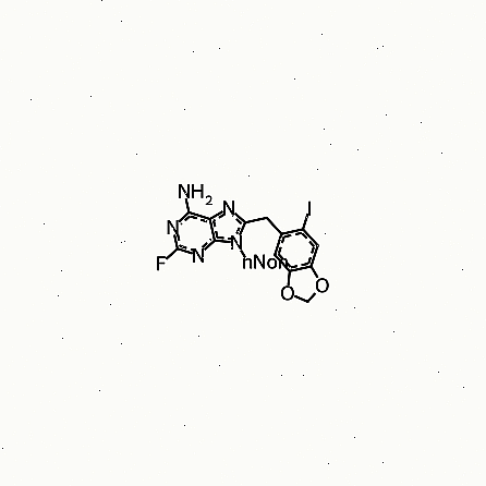 CCCCCCCCCn1c(Cc2cc3c(cc2I)OCO3)nc2c(N)nc(F)nc21